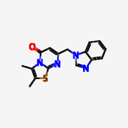 Cc1sc2nc(Cn3cnc4ccccc43)cc(=O)n2c1C